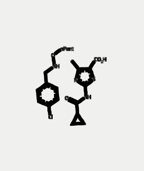 CCCCCONCc1ccc(Cl)cc1.Cc1nc(NC(=O)C2CC2)sc1C(=O)O